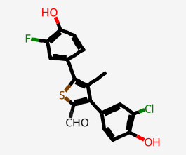 Cc1c(-c2ccc(O)c(F)c2)sc(C=O)c1-c1ccc(O)c(Cl)c1